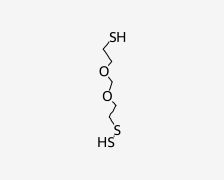 SCCOCOCCSS